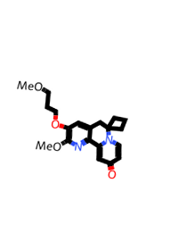 COCCCOc1cc2c(nc1OC)-c1cc(=O)ccn1C1(CCC1)C2